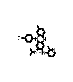 Cc1ccc2nc3cc(Nc4cccnc4C)/c(=N/C(C)C)cc-3n(-c3ccc(Cl)cc3)c2c1